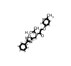 Cc1ccc(OCC(=O)N(Cc2nc(-c3ccccc3)no2)C(C)C)cn1